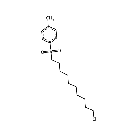 Cc1ccc(S(=O)(=O)CCCCCCCCCCCl)cc1